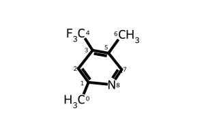 Cc1cc(C(F)(F)F)c(C)[c]n1